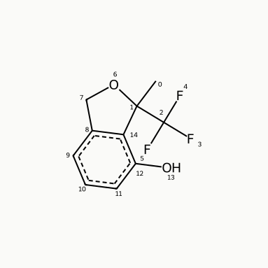 CC1(C(F)(F)F)OCc2cccc(O)c21